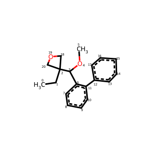 CCC1(C(OC)c2ccccc2-c2ccccc2)COC1